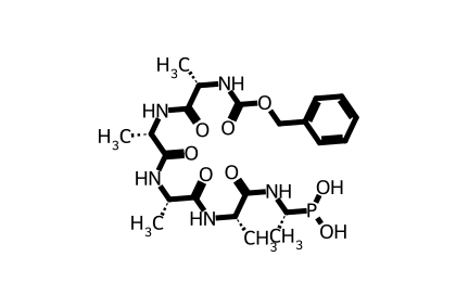 C[C@H](NC(=O)OCc1ccccc1)C(=O)N[C@@H](C)C(=O)N[C@@H](C)C(=O)N[C@@H](C)C(=O)N[C@@H](C)P(O)O